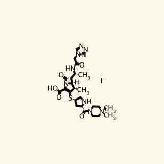 C[C@@H](NC(=O)Cn1cnnn1)[C@H]1C(=O)N2C(C(=O)O)=C(S[C@@H]3CN[C@H](C(=O)N4CC[N+](C)(C)CC4)C3)[C@H](C)[C@H]12.[I-]